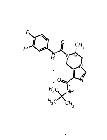 C[C@@H]1Cn2cnc(C(=O)NC(C)(C)C)c2CN1C(=O)Nc1ccc(F)c(F)c1